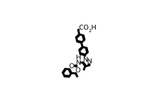 Cc1cnn(-c2ccc(-c3ccc(CC(=O)O)cc3)cc2)c1NC(=O)OC(C)c1ccccc1